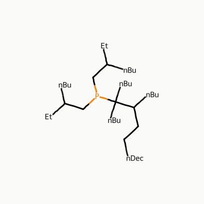 CCCCCCCCCCCCC(CCCC)C(CCCC)(CCCC)P(CC(CC)CCCC)CC(CC)CCCC